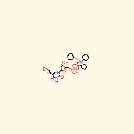 O=C(OP(=O)(O)OC[C@H]1O[C@@H](n2cc(/C=C/Br)c(=O)[nH]c2=O)C[C@@H]1O)C1(N(OCc2ccccc2)c2ccc(F)cc2)CCCC1